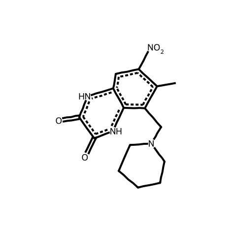 Cc1c([N+](=O)[O-])cc2[nH]c(=O)c(=O)[nH]c2c1CN1CCCCC1